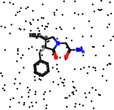 NC(=O)CN1C[C@H](C(=O)O)[C@@H](Cc2ccccc2)C1=O